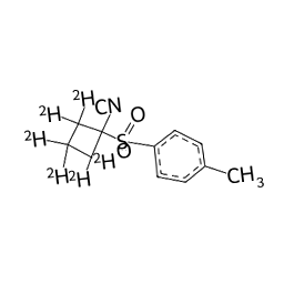 [2H]C1([2H])C([2H])([2H])C(C#N)(S(=O)(=O)c2ccc(C)cc2)C1([2H])[2H]